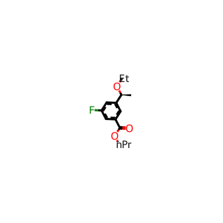 CCCOC(=O)c1cc(F)cc([C@H](C)OCC)c1